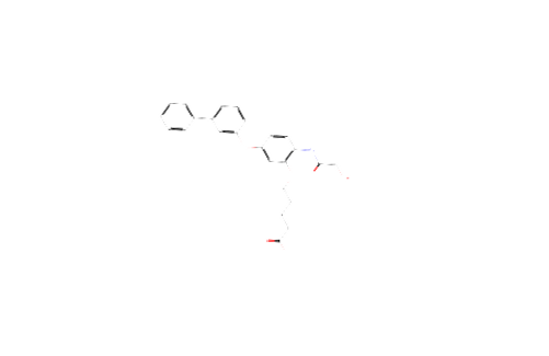 O=C(O)CCCCOc1cc(Oc2cccc(-c3ccccc3)c2)ccc1NC(=O)CO